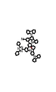 N#Cc1cccc(-c2cc(-c3cc(-c4nc(-c5ccccc5)nc(-c5ccccc5)n4)ccc3-n3c4ccccc4c4cc(-n5c6ccccc6c6ccccc65)ccc43)ccc2-n2c3ccccc3c3cc(-n4c5ccccc5c5ccccc54)ccc32)c1